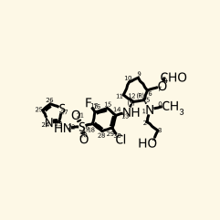 CN(CCO)[C@H]1C(OC=O)CCC[C@@H]1Nc1cc(F)c(S(=O)(=O)Nc2nccs2)cc1Cl